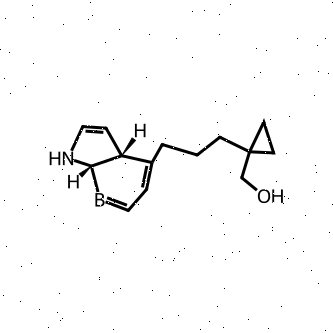 OCC1(CCCC2=CC=B[C@@H]3NC=C[C@H]23)CC1